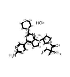 CC(N)(CF)C(=O)N1CC[C@](C)(N2CCc3c(-c4cnc(N)nc4)nc(N4CCOCC4)nc32)C1.Cl